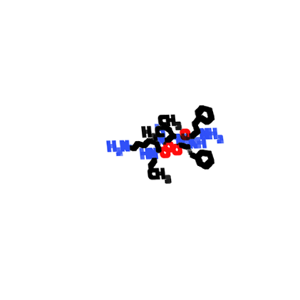 CCCNC(=O)[C@@H](CCCCN)NC(=O)[C@@H](CC(C)C)NC(=O)[C@@H](Cc1ccccc1)NC(=O)[C@H](N)Cc1ccccc1